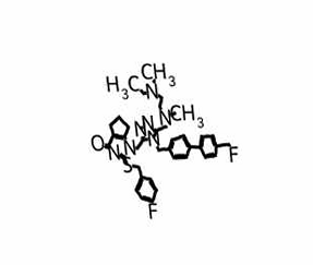 CCN(CC)CCN(C)Cc1nnc(Cn2c(SCc3ccc(F)cc3)nc(=O)c3c2CCC3)n1Cc1ccc(-c2ccc(CF)cc2)cc1